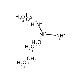 O.O.O.O.O.O.[NH3+][Ni-2][NH3+]